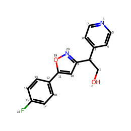 OCC(c1ccncc1)c1cc(-c2ccc(F)cc2)on1